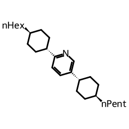 CCCCCC[C@H]1CC[C@H](c2ccc([C@H]3CC[C@H](CCCCC)CC3)cn2)CC1